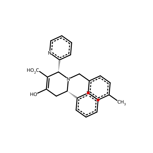 Cc1ccc(CN2[C@@H](c3ccccn3)C(C(=O)O)=C(O)C[C@H]2c2ccccn2)cc1